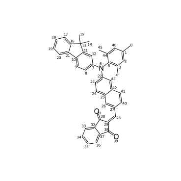 Cc1cc(C)c(N(c2ccc3c(c2)C(C)(C)c2ccccc2-3)c2ccc3cc(C=C4C(=O)c5ccccc5C4=O)ccc3c2)c(C)c1